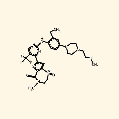 CCc1cc(N2CCN(CCOC)CC2)ccc1Nc1ncc(C(F)(F)F)c(-c2cc3c(s2)C(=S)N(C)CCS3(=O)=O)n1